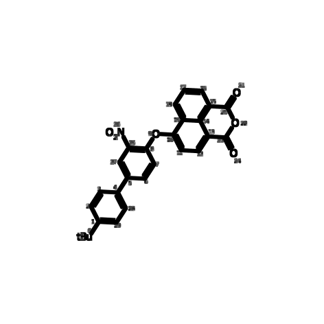 CC(C)(C)c1ccc(-c2ccc(Oc3ccc4c5c(cccc35)C(=O)OC4=O)c([N+](=O)[O-])c2)cc1